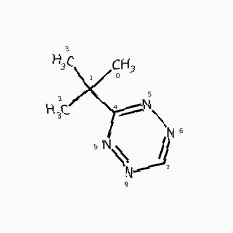 CC(C)(C)c1nncnn1